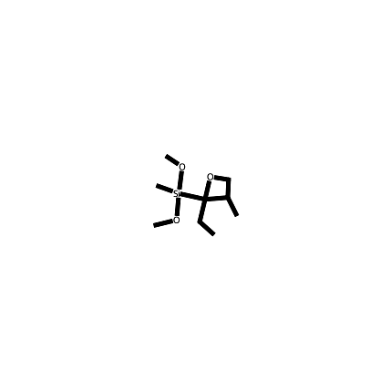 CCC1([Si](C)(OC)OC)OCC1C